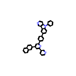 c1ccc(-n2c3ccncc3c3cc(-c4ccc(-c5cc(-c6ccc7ccccc7c6)cc(-c6cccnc6)n5)cc4)ccc32)cc1